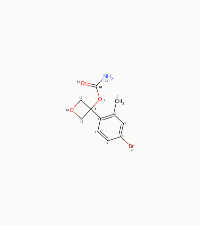 Cc1cc(Br)ccc1C1(OC(N)=O)COC1